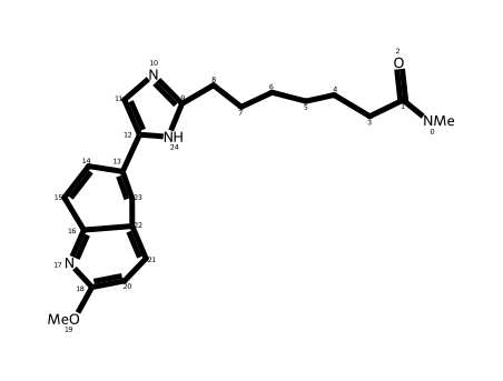 CNC(=O)CCCCCCc1ncc(-c2ccc3nc(OC)ccc3c2)[nH]1